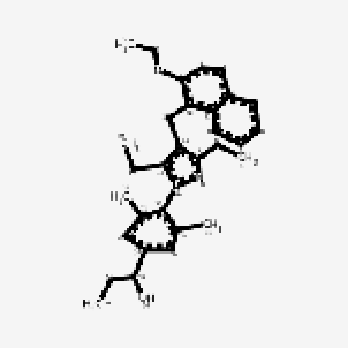 CCOc1ccc2ccccc2c1Cc1c(CC)nn(-c2c(C)cc(C(O)CC)cc2C)c1CC